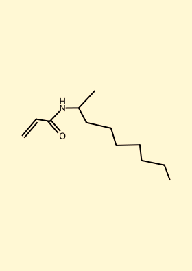 C=CC(=O)NC(C)CCCCCCC